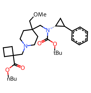 CCCCOC(=O)C1(CN2CCC(COC)(CN(C(=O)OC(C)(C)C)[C@@H]3CC3c3ccccc3)CC2)CCC1